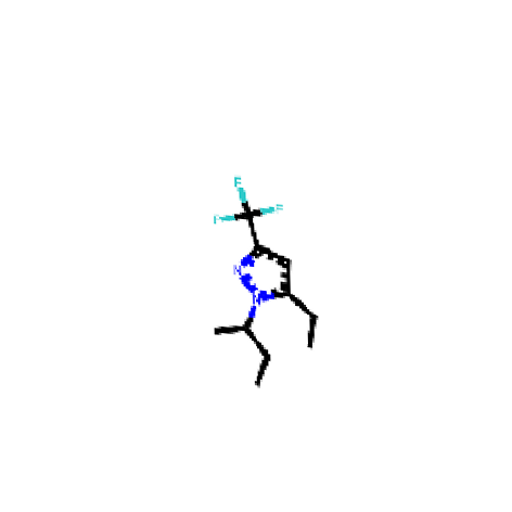 CCc1cc(C(F)(F)F)nn1C(C)CC